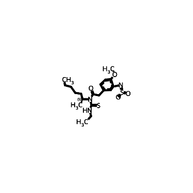 CCCCC[C@H](C)N(C(=O)Cc1ccc(OC)c(N=S(=O)=O)c1)C(=S)NCC